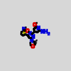 CN=S1(=O)CCCC1c1cc(N2CCOC[C@H]2C)nc(-c2cc(N)nc(OC)c2)n1